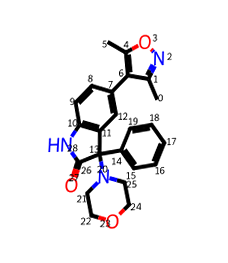 Cc1noc(C)c1-c1ccc2c(c1)C(c1ccccc1)(N1CCOCC1)C(=O)N2